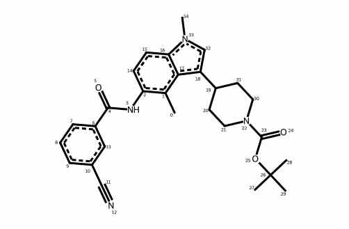 Cc1c(NC(=O)c2cccc(C#N)c2)ccc2c1c(C1CCN(C(=O)OC(C)(C)C)CC1)cn2C